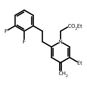 C=C1C=C(CCc2cccc(F)c2F)N(CC(=O)OCC)C=C1CC